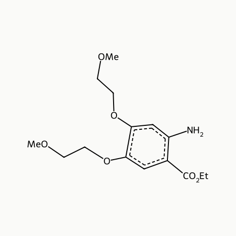 CCOC(=O)c1cc(OCCOC)c(OCCOC)cc1N